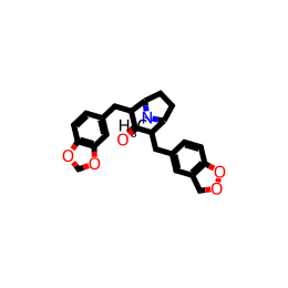 CN1C2CCC1C(Cc1ccc3c(c1)OCO3)C(=O)C2Cc1ccc2c(c1)COO2